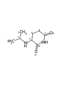 CC(C)NC1CCC(=O)NC1=O